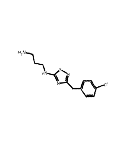 NCCCNc1nc(Cc2ccc(Cl)cc2)ns1